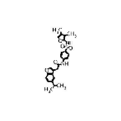 Cc1coc(NS(=O)(=O)c2ccc(NC(=O)Cc3coc4ccc(C(C)C)cc34)cc2)c1C